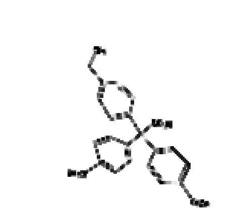 COc1ccc(C(C(=O)O)(c2ccc(CO)cc2)c2ccc(OC)cc2)cc1